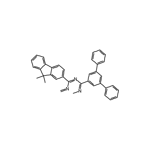 C=N/C(=N\C(=N/C)c1cc(-c2ccccc2)cc(-c2ccccc2)c1)c1ccc2c(c1)C(C)(C)c1ccccc1-2